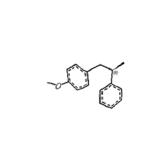 COc1ccc(C[C@@H](C)c2ccccc2)cc1